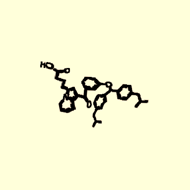 CC(C)Cc1ccc(C(Oc2cccc(C(=O)c3cc(CCCC(=O)O)n4ccccc34)c2)c2ccc(CC(C)C)cc2)cc1